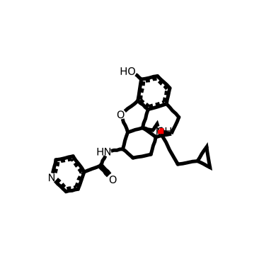 O=C(NC1CCC2(O)C3Cc4ccc(O)c5c4C2(CCN3CC2CC2)C1O5)c1ccncc1